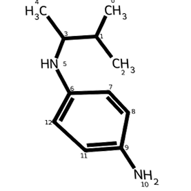 CC(C)C(C)Nc1ccc(N)cc1